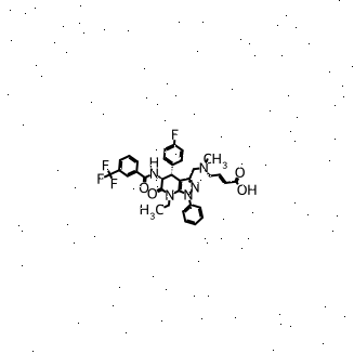 CCN1C(=O)[C@@H](NC(=O)c2cccc(C(F)(F)F)c2)[C@H](c2ccc(F)cc2)c2c(CN(C)CC=CC(=O)O)nn(-c3ccccc3)c21